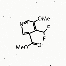 COC(=O)c1cncc(OC)c1C(F)F